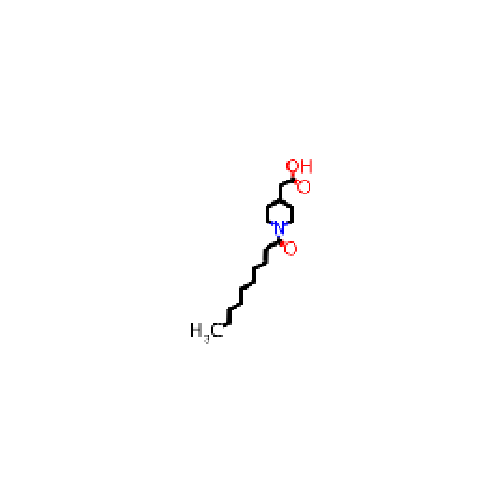 CCCCCCCC=CC(=O)N1CCC(CC(=O)O)CC1